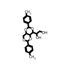 Cc1ccc(C2OC3COC(c4ccc(C)cc4)OC3C(C(O)CO)O2)cc1